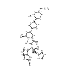 CCN1CC[C@@H](c2ccc(-c3cc(Cl)c4c(c3)C(=O)N(C(C(=O)Nc3nccs3)c3ncn5c3C[C@@H](F)C5)C4)cc2)[C@H](F)C1